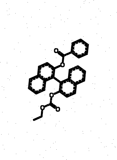 CCOC(=O)Oc1ccc2ccccc2c1-c1c(OC(=O)c2ccccc2)ccc2ccccc12